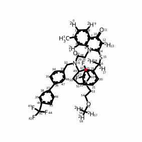 [2H]c1c(C)c([2H])c2c(c1[2H])c(=O)c([2H])c(SC([2H])([2H])c1cccc(F)c1F)n2CC(=O)N(Cc1ccc(-c2ccc(C(F)(F)F)cc2)cc1)C1CCN(CCOC([2H])([2H])[2H])CC1